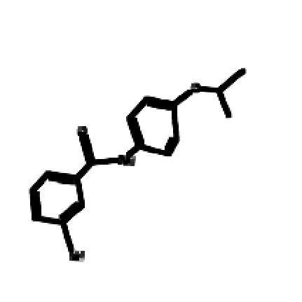 CC(C)Oc1ccc(NC(=O)c2cccc(S)c2)cc1